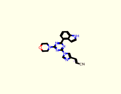 N#C/C=C/c1cn(-c2nc(-c3cccc4[nH]ccc34)nc(N3CCOCC3)n2)cn1